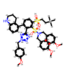 COc1ccc(CN(Cc2ccc(OC)cc2)S(=O)(=O)c2c(S(=O)(=O)CC[Si](C)(C)C)ccc(-c3cccc4c3CCCN4)c2-c2nnn(Cc3ccc(OC)cc3)n2)cc1